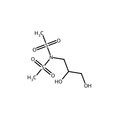 CS(=O)(=O)N(CC(O)CO)S(C)(=O)=O